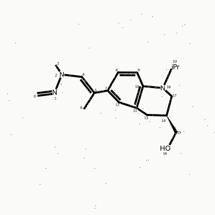 C=NN(C)/C=C(\C)c1ccc2c(c1)C[C@H](CO)CN2C(C)C